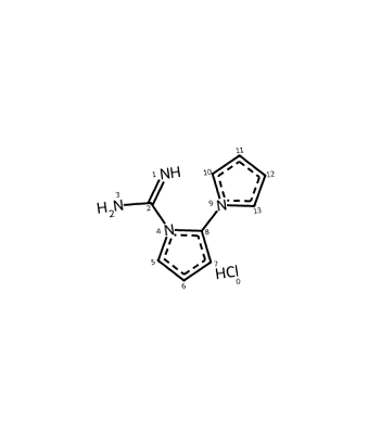 Cl.N=C(N)n1cccc1-n1cccc1